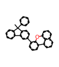 CC1(c2ccccc2)c2ccccc2-c2cc(-c3cccc4c3Oc3cccc5cccc-4c35)ccc21